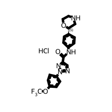 Cl.O=C(Nc1ccc([C@H]2CNCCO2)cc1)c1cnn(-c2ccc(OC(F)(F)F)cc2)n1